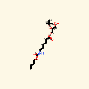 CCCCOC(=O)NCCCCCC(=O)OCC(CO)OC(C)(C)C